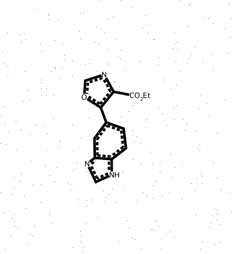 CCOC(=O)c1ncoc1-c1ccc2[nH]cnc2c1